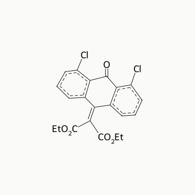 CCOC(=O)C(C(=O)OCC)=C1c2cccc(Cl)c2C(=O)c2c(Cl)cccc21